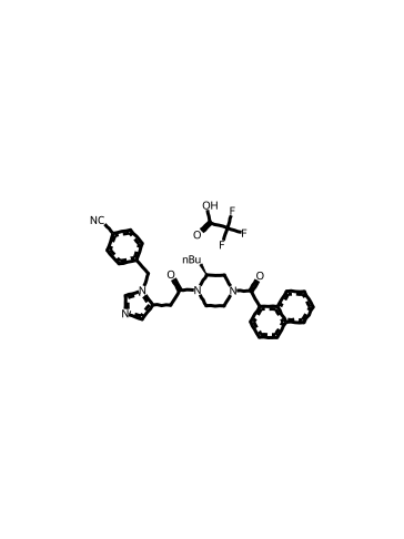 CCCC[C@H]1CN(C(=O)c2cccc3ccccc23)CCN1C(=O)Cc1cncn1Cc1ccc(C#N)cc1.O=C(O)C(F)(F)F